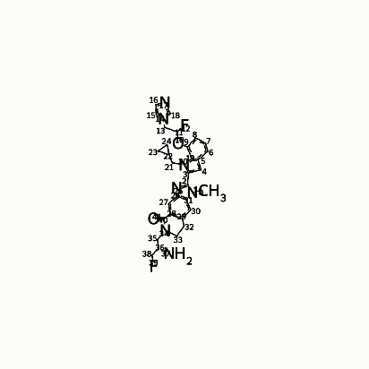 Cn1c(-c2cc3cccc(O[C@H](F)Cn4ccnc4)c3n2CC2CC2)nc2cc3c(cc21)CCN(C[C@H](N)CF)C3=O